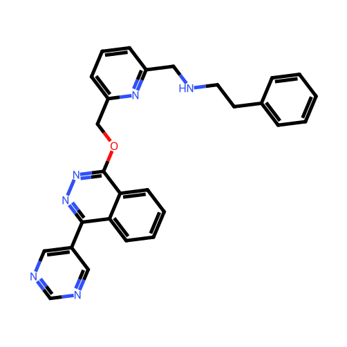 c1ccc(CCNCc2cccc(COc3nnc(-c4cncnc4)c4ccccc34)n2)cc1